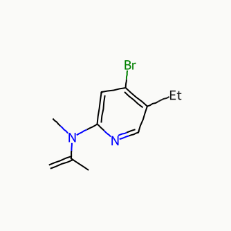 C=C(C)N(C)c1cc(Br)c(CC)cn1